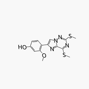 COc1cc(O)ccc1-c1cn2nc(SC)nc(SC)c2n1